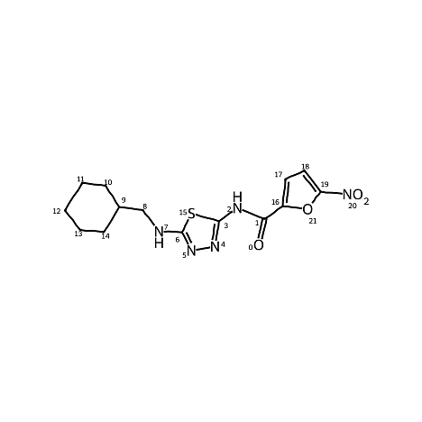 O=C(Nc1nnc(NCC2CCCCC2)s1)c1ccc([N+](=O)[O-])o1